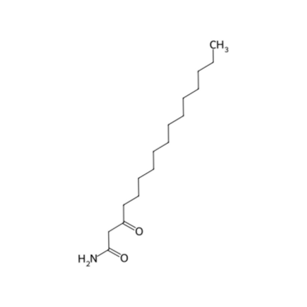 CCCCCCCCCCCCCC(=O)CC(N)=O